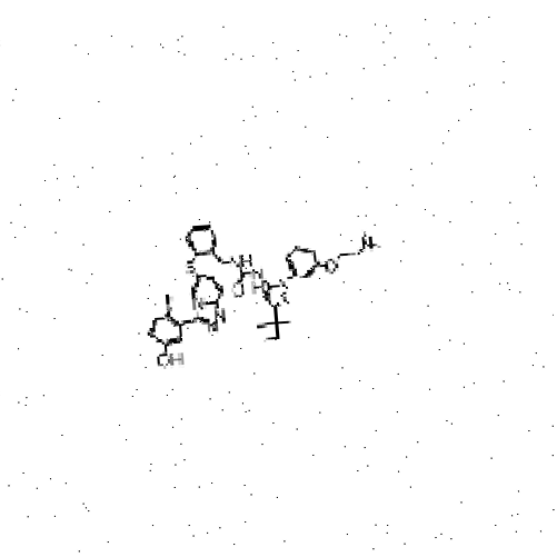 CCC(C)(C)c1cc(NC(=O)NCc2ccccc2Sc2ccc3nnc(-c4cc(O)ccc4F)n3c2)n(-c2cccc(OCCN(C)C)c2)n1